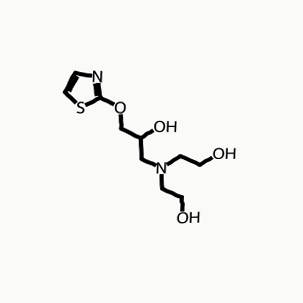 OCCN(CCO)CC(O)COc1nccs1